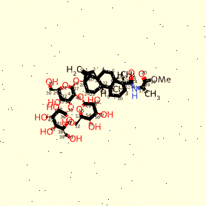 C=C1C[C@@]23CC[C@H]4[C@@](C)(CCC[C@@]4(C)C(=O)NC(C)C(=O)OC)[C@@H]2CC[C@]1(O[C@@H]1O[C@H](CO)[C@@H](O)[C@H](O[C@@H]2O[C@H](CO)[C@@H](O)[C@H](O)[C@H]2O)[C@H]1O[C@@H]1O[C@H](CO)[C@@H](O)[C@H](O)[C@H]1O)C3